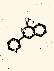 Cc1nc(-c2cccnc2)cc2ccccc12